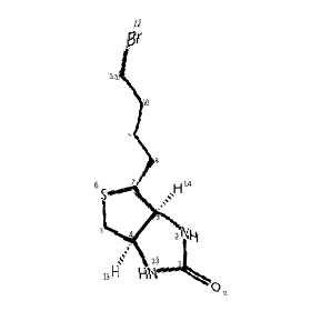 O=C1N[C@H]2[C@H](CS[C@H]2CCCCBr)N1